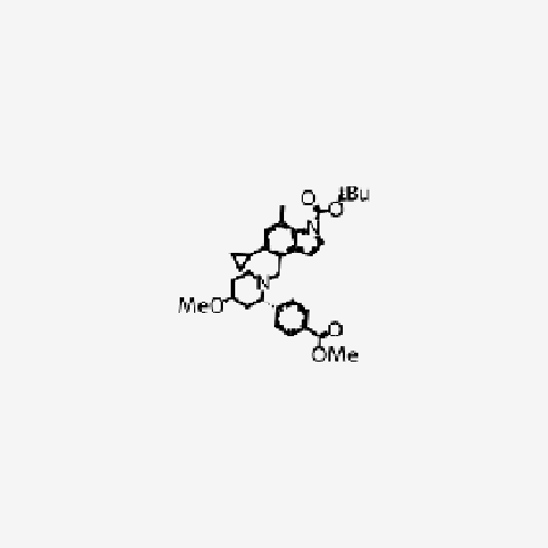 COC(=O)c1ccc([C@@H]2C[C@@H](OC)CCN2Cc2c(C3CC3)cc(C)c3c2ccn3C(=O)OC(C)(C)C)cc1